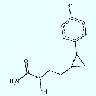 NC(=O)N(O)CCC1CC1c1ccc(Br)cc1